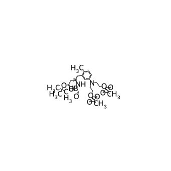 Cc1ccc(N(CCOS(C)(=O)=O)CCOS(C)(=O)=O)cc1C[C@H](CC(=O)OC(C)(C)C)NBC=O